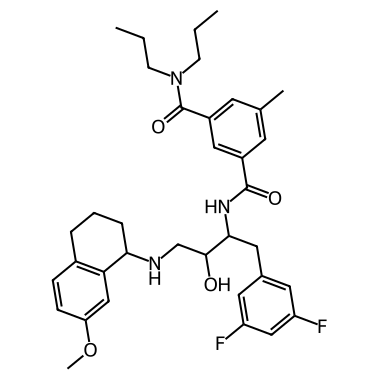 CCCN(CCC)C(=O)c1cc(C)cc(C(=O)NC(Cc2cc(F)cc(F)c2)C(O)CNC2CCCc3ccc(OC)cc32)c1